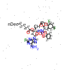 C#CC1(CO[P@@](=O)(NC(Cc2cc(F)cc(F)c2)C(=O)OC(C)C)Oc2ccccc2)OC(n2cnc3c(N)nc(F)nc32)CC1OC(=O)CCCCCCCCCCCCCCC